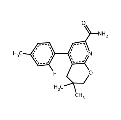 Cc1ccc(-c2cc(C(N)=O)nc3c2CC(C)(C)CO3)c(F)c1